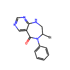 CCC1CNc2ncncc2C(=O)N1c1ccccc1